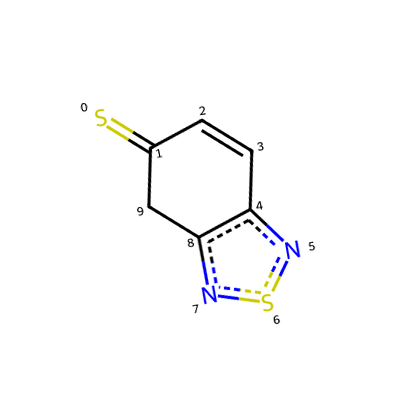 S=C1C=Cc2nsnc2C1